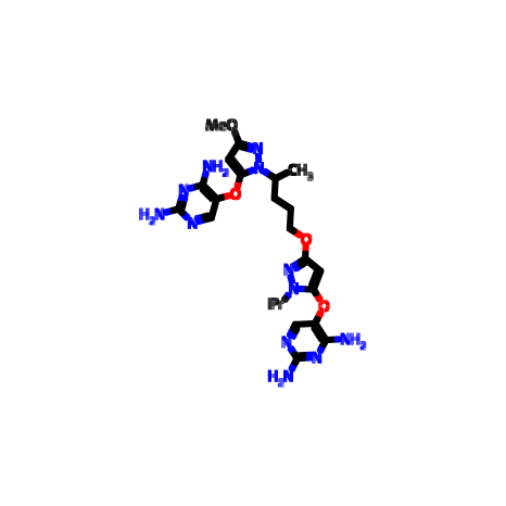 COc1cc(Oc2cnc(N)nc2N)n(C(C)CCCOc2cc(Oc3cnc(N)nc3N)n(C(C)C)n2)n1